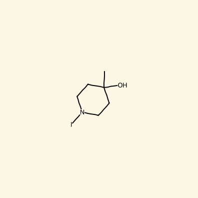 CC1(O)CCN(I)CC1